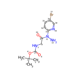 CC(C)(C)OC(=O)NCC(=O)N(N)c1ccc(Br)cn1